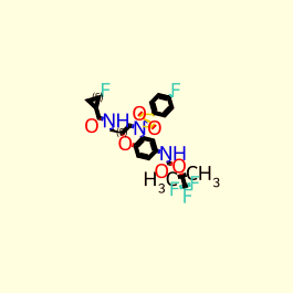 CC(C)(OC(=O)Nc1ccc2c(c1)N(S(=O)(=O)c1ccc(F)cc1)C[C@H](CNC(=O)C1C[C@@H]1F)O2)C(F)(F)F